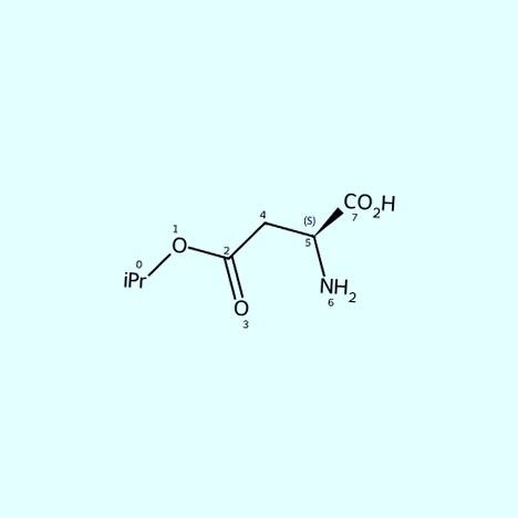 CC(C)OC(=O)C[C@H](N)C(=O)O